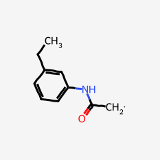 [CH2]C(=O)Nc1cccc(CC)c1